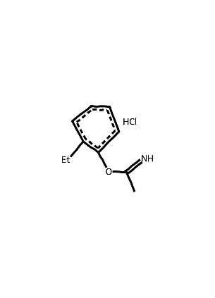 CCc1ccccc1OC(C)=N.Cl